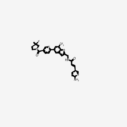 CC1(F)CCN(C(=O)c2ccc(-c3cc(C(F)(F)F)c4oc(CNC(=O)C=Cc5ccc(N)nc5)cc4c3)nc2)C1